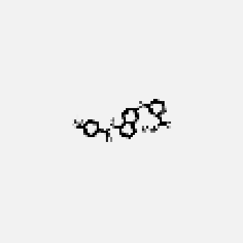 CNC(=O)c1cc(Oc2ccc3c(NC(=O)c4ccc(OC(F)(F)F)cc4)cccc3c2)ccn1